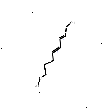 OC/C=C/C=C/CCCOO